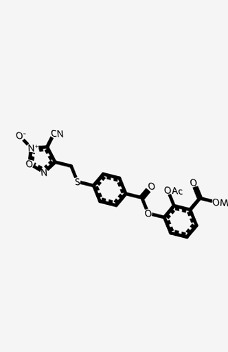 COC(=O)c1cccc(OC(=O)c2ccc(SCc3no[n+]([O-])c3C#N)cc2)c1OC(C)=O